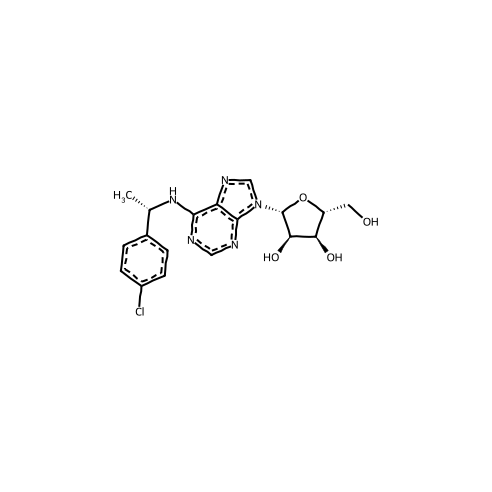 C[C@H](Nc1ncnc2c1ncn2[C@@H]1O[C@H](CO)[C@@H](O)[C@H]1O)c1ccc(Cl)cc1